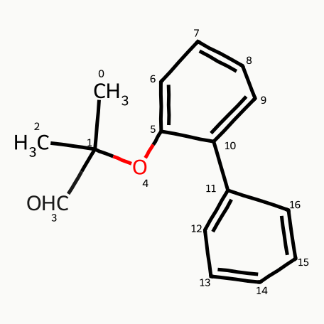 CC(C)(C=O)Oc1ccccc1-c1ccccc1